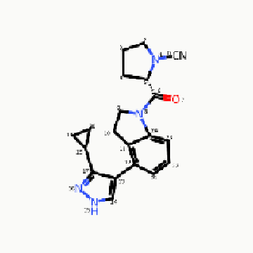 N#CN1CCC[C@H]1C(=O)N1CCc2c(-c3c[nH]nc3C3CC3)cccc21